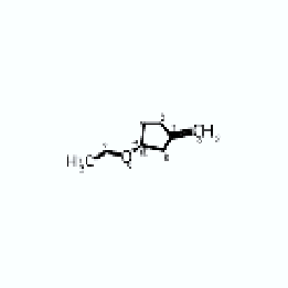 C=C1CC[C@H](OCC)C1